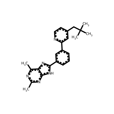 Cc1nc(C)c2nc(-c3cccc(-c4cc(CC(C)(C)C)ccn4)c3)[nH]c2n1